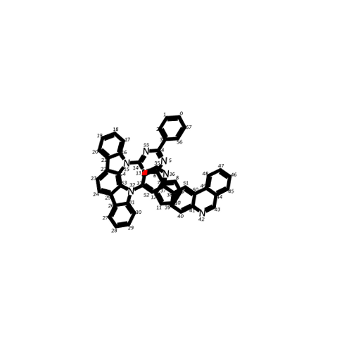 c1ccc(-c2nc(-c3ccccc3)nc(-n3c4ccccc4c4ccc5c6ccccc6n(-c6ccnc(-c7ccc8ncc9ccccc9c8c7)c6)c5c43)n2)cc1